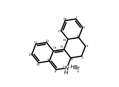 Br.C1=CC2CCC3NC=c4ccccc4=C3C2C=C1